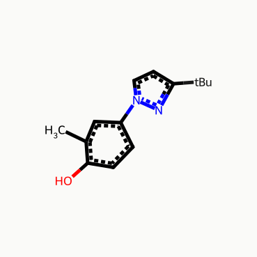 Cc1cc(-n2ccc(C(C)(C)C)n2)ccc1O